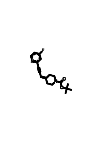 CC(C)(C)OC(=O)N1CCC(=CC#Cc2cc(F)ccn2)CC1